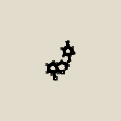 [CH2]c1ccc(CN(C)Cc2cccc(Cl)c2Cl)cc1